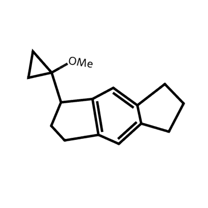 COC1(C2CCc3cc4c(cc32)CCC4)CC1